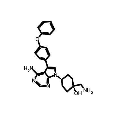 NC[C@]1(O)CC[C@@H](n2cc(-c3ccc(Oc4ccccc4)cc3)c3c(N)ncnc32)CC1